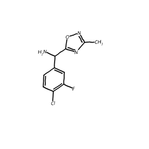 Cc1noc(C(N)c2ccc(Cl)c(F)c2)n1